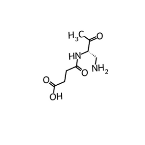 CC(=O)[C@H](CN)NC(=O)CCC(=O)O